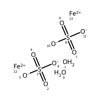 O.O.O=S(=O)([O-])[O-].O=S(=O)([O-])[O-].[Fe+2].[Fe+2]